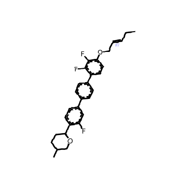 CC/C=C/COc1ccc(-c2ccc(-c3ccc(C4CCC(C)CO4)c(F)c3)cc2)c(F)c1F